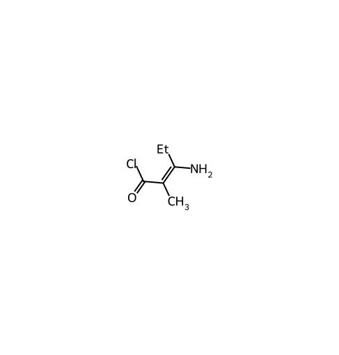 CCC(N)=C(C)C(=O)Cl